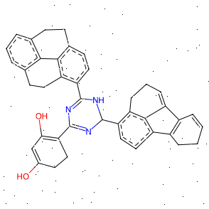 OC1=CC(O)=C(C2=NC(c3ccc4c5c3CCC=C5C3=C4CCC=C3)NC(c3ccc4c5c3CCc3cccc(c3-5)CC4)=N2)CC1